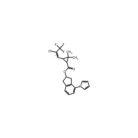 CC1(C)C(/C=C(/Cl)C(F)(F)F)C1C(=O)OC1Cc2cccc(-n3cccc3)c2C1